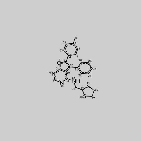 Cc1ccc(-c2oc3ncnc(NCC4SCCS4)c3c2-c2ccccc2)cc1